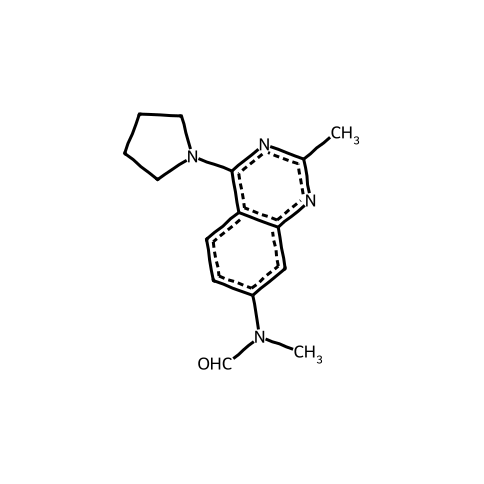 Cc1nc(N2CCCC2)c2ccc(N(C)C=O)cc2n1